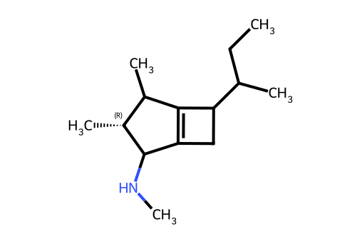 CCC(C)C1CC2=C1C(C)[C@@H](C)C2NC